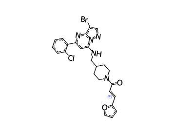 O=C(/C=C/c1ccco1)N1CCC(CNc2cc(-c3ccccc3Cl)nc3c(Br)cnn23)CC1